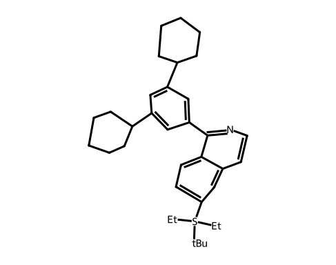 CCS(CC)(c1ccc2c(-c3cc(C4CCCCC4)cc(C4CCCCC4)c3)nccc2c1)C(C)(C)C